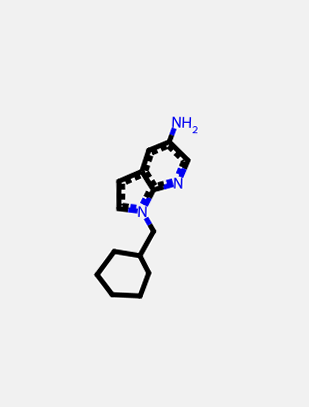 Nc1cnc2c(ccn2CC2CCCCC2)c1